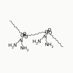 CCCCCCCCCCOP(=O)(CCN(CCCN)CCCN)OCCCCCCCCCCOP(=O)(CCN(CCCN)CCCN)OCCCCCCCCCC